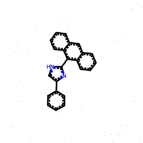 c1ccc(-c2c[nH]c(-c3c4ccccc4cc4ccccc34)n2)cc1